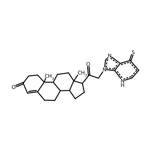 CC12CCC(=O)C=C1CCC1C2CCC2(C)C(C(=O)Cn3cnc4c(=S)cc[nH]c43)CCC12